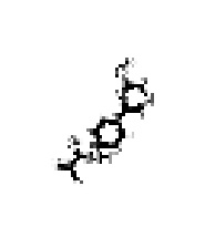 COc1cncc(-c2ccc(NC(=O)C(C)C)cc2)n1